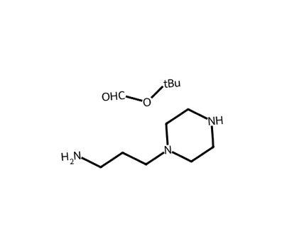 CC(C)(C)OC=O.NCCCN1CCNCC1